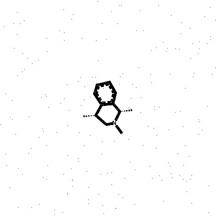 C[C@H]1CN(C)[C@@H](C)c2ccccc21